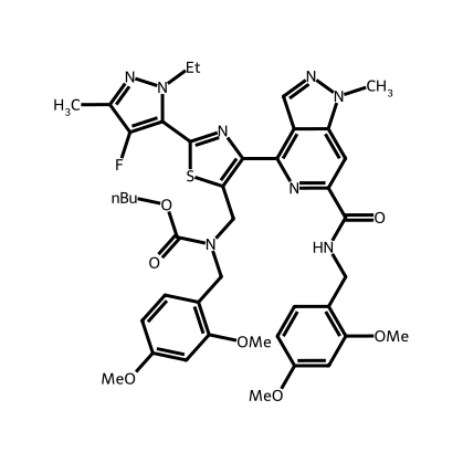 CCCCOC(=O)N(Cc1ccc(OC)cc1OC)Cc1sc(-c2c(F)c(C)nn2CC)nc1-c1nc(C(=O)NCc2ccc(OC)cc2OC)cc2c1cnn2C